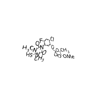 COC(=O)C(C)OC(=O)COc1cc(N2C(=O)N(C)C(S)N(C)C2=O)c(F)cc1Cl